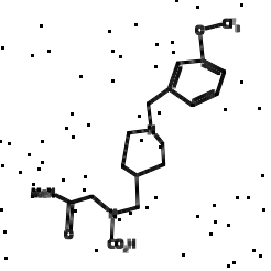 CNC(=O)CN(CC1CCN(Cc2cccc(OC(F)(F)F)c2)CC1)C(=O)O